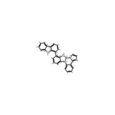 c1ccc2c(c1)-c1nccn1B1Oc3c(-c4cccc5c4oc4ccccc45)cccc3N12